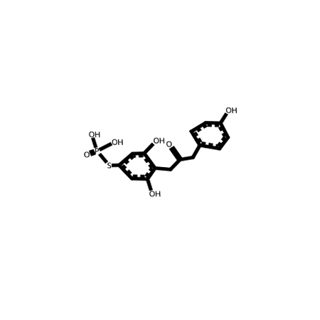 O=C(Cc1ccc(O)cc1)Cc1c(O)cc(SP(=O)(O)O)cc1O